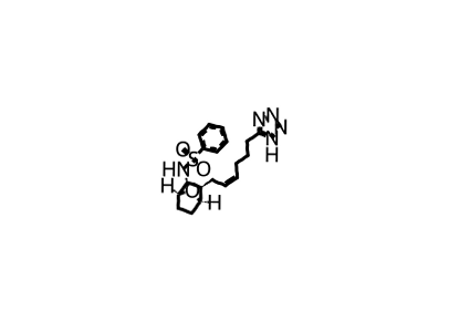 O=S(=O)(N[C@@H]1[C@@H](C/C=C\CCCc2nnn[nH]2)[C@H]2CC[C@@H]1O2)c1ccccc1